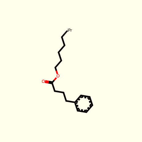 CC(C)CCCCCOC(=O)CCCc1ccccc1